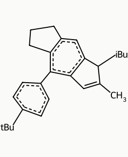 [CH2]CC(C)C1C(C)=Cc2c1cc1c(c2-c2ccc(C(C)(C)C)cc2)CCC1